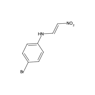 O=[N+]([O-])C=CNc1ccc(Br)cc1